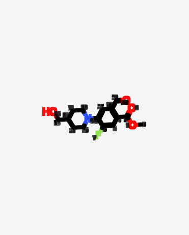 COC(=O)c1cc(F)c(N2CCC(CO)CC2)cc1C=O